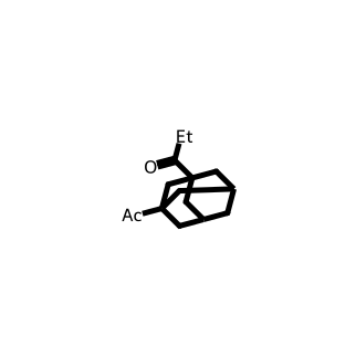 CCC(=O)C12CC3CC(CC(C(C)=O)(C3)C1)C2